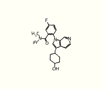 CC(C)N(C)C(=O)c1cc(F)ccc1-n1cc(C2CCC(O)CC2)c2ccncc21